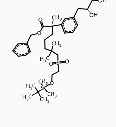 CC(C)(CCC[C@@](C)(C(=O)OCc1ccccc1)c1cccc(C[C@@H](O)CO)c1)CS(=O)(=O)CCO[Si](C)(C)C(C)(C)C